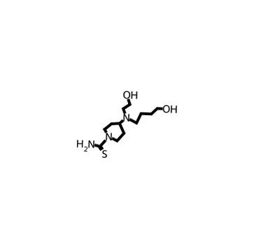 NC(=S)N1CCC(N(CCO)CCCCO)CC1